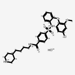 COc1cc(Cl)ccc1Oc1ccccc1NS(=O)(=O)c1ccc(C(=O)NCCCCC2CCNCC2)cc1.Cl